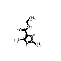 CCOC(=O)C1=C(N)N=S(C)S1